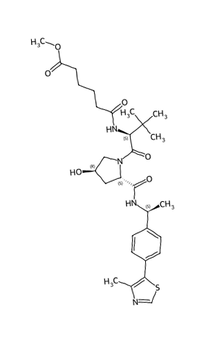 COC(=O)CCCCC(=O)N[C@H](C(=O)N1C[C@H](O)C[C@H]1C(=O)N[C@@H](C)c1ccc(-c2scnc2C)cc1)C(C)(C)C